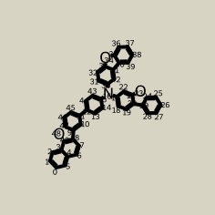 c1ccc2c(c1)ccc1c3cc(-c4ccc(N(c5ccc6c(c5)oc5ccccc56)c5ccc6oc7ccccc7c6c5)cc4)ccc3oc21